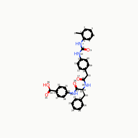 Cc1ccccc1NC(=O)Nc1ccc(CC(=O)N[C@@H](Cc2ccccc2)C(=O)Nc2ccc(C(=O)O)cc2)cc1